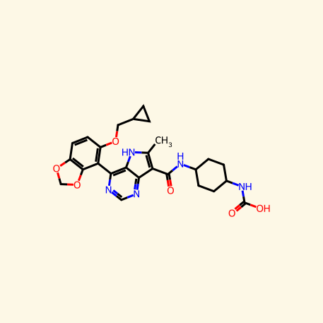 Cc1[nH]c2c(-c3c(OCC4CC4)ccc4c3OCO4)ncnc2c1C(=O)NC1CCC(NC(=O)O)CC1